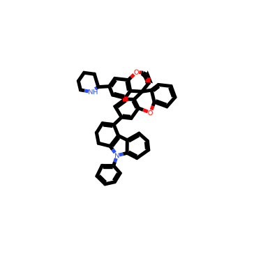 C1=C(c2ccc3c(c2)Oc2ccccc2C32c3ccccc3Oc3cc(C4CCCCN4)ccc32)c2c(n(-c3ccccc3)c3ccccc23)CC1